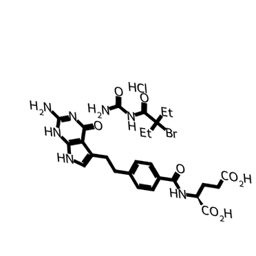 CCC(Br)(CC)C(=O)NC(N)=O.Cl.Nc1nc(=O)c2c(CCc3ccc(C(=O)N[C@@H](CCC(=O)O)C(=O)O)cc3)c[nH]c2[nH]1